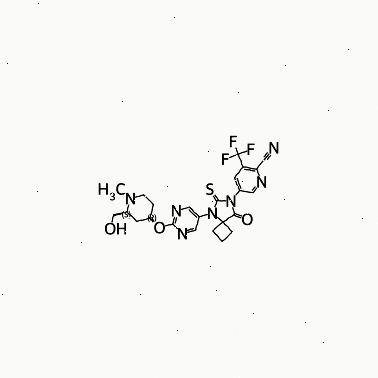 CN1CC[C@@H](Oc2ncc(N3C(=S)N(c4cnc(C#N)c(C(F)(F)F)c4)C(=O)C34CCC4)cn2)C[C@H]1CO